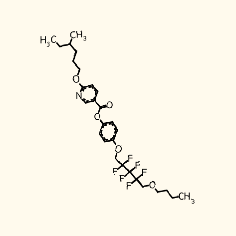 CCCCOCC(F)(F)C(F)(F)C(F)(F)COc1ccc(OC(=O)c2ccc(OCCCC(C)CC)nc2)cc1